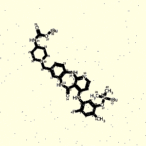 Cc1cc(F)c(Nc2ccnc3c2C(=O)Nc2cc(CN4CCC(NC(=O)OC(C)(C)C)CC4)ccc2N3)cc1O[Si](C)(C)C(C)(C)C